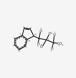 ClC(Cl)(Cl)C(Cl)(Cl)C(Cl)(Cl)C(Cl)(Cl)[C]1C=Cc2ccccc21